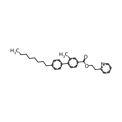 CCCCCCCCc1ccc(-c2ccc(C(=O)OCCc3ccccn3)cc2C)cc1